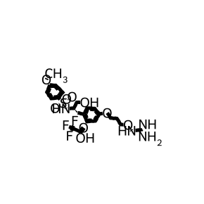 COc1ccc(S(=O)(=O)N[C@@H](Cc2ccc(OCCCONC(=N)N)cc2)C(=O)O)cc1.O=C(O)C(F)(F)F